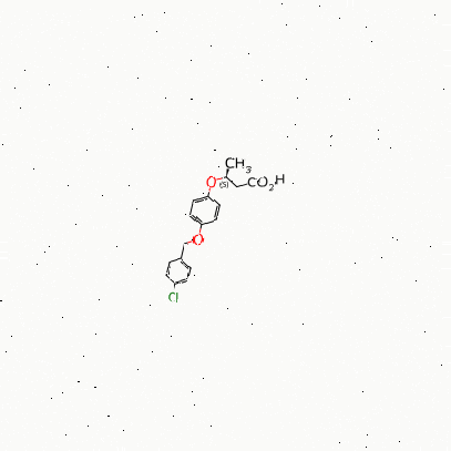 C[C@@H](CC(=O)O)Oc1ccc(OCc2ccc(Cl)cc2)cc1